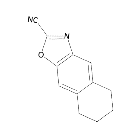 N#Cc1nc2cc3c(cc2o1)CCCC3